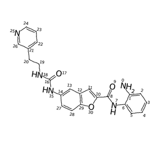 Nc1ccccc1NC(=O)c1cc2cc(NC(=O)NCCc3cccnc3)ccc2o1